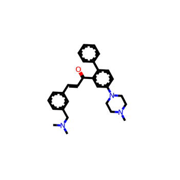 CN(C)Cc1cccc(/C=C/C(=O)c2cc(N3CCN(C)CC3)ccc2-c2ccccc2)c1